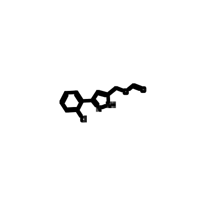 O=COCc1cc(-c2ccccc2Cl)n[nH]1